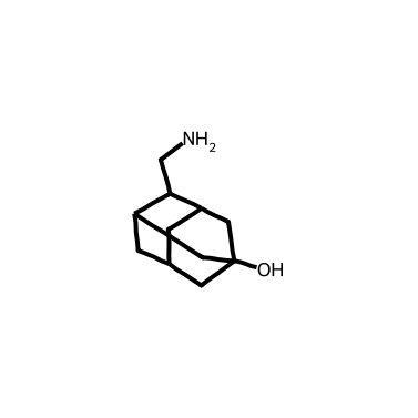 NCC1C2CC3CC1CC(O)(C3)C2